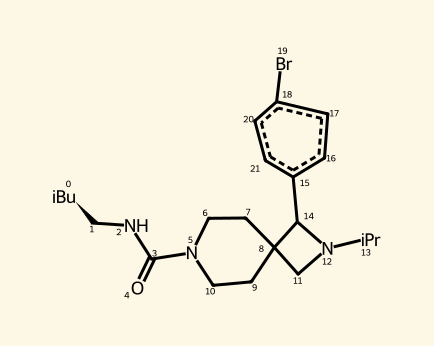 CC[C@H](C)CNC(=O)N1CCC2(CC1)CN(C(C)C)C2c1ccc(Br)cc1